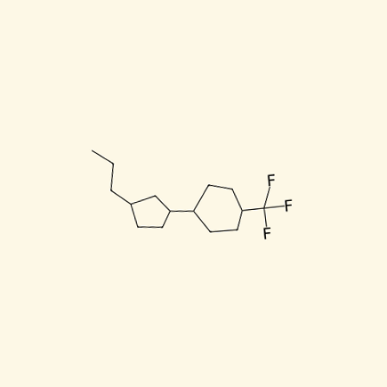 CCCC1CCC(C2CCC(C(F)(F)F)CC2)C1